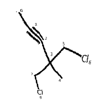 [CH2]C#CC(C)(CCl)CCl